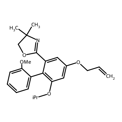 C=CCOc1cc(OC(C)C)c(-c2ccccc2OC)c(C2=NC(C)(C)CO2)c1